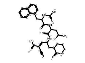 CC(C)CC(NC(=O)C(Cc1cccc2ccccc12)NC(=O)O)C(=O)NC(/C=C(\C#N)C(N)=O)CC1CCCNC1=O